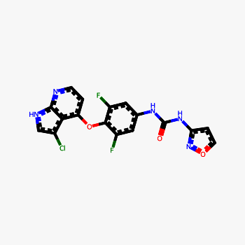 O=C(Nc1cc(F)c(Oc2ccnc3[nH]cc(Cl)c23)c(F)c1)Nc1ccon1